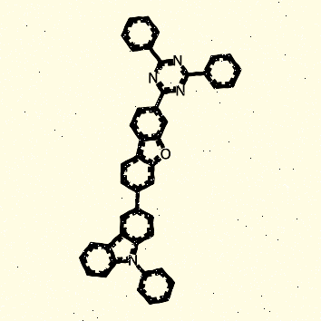 c1ccc(-c2nc(-c3ccccc3)nc(-c3ccc4c(c3)oc3cc(-c5ccc6c(c5)c5ccccc5n6-c5ccccc5)ccc34)n2)cc1